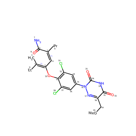 CC/C(C)=C(/C=C(\C(N)=O)C(C)C)Oc1c(Cl)cc(-n2nc(COC)c(=O)[nH]c2=O)cc1Cl